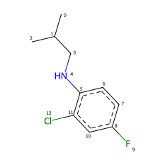 CC(C)CNc1ccc(F)cc1Cl